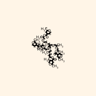 CC(COCC(COCC(C)OCC(C)OC(=O)C1CCOC(C)C1)(COCC(C)OCC(C)OC(=O)C1CCOC(C)C1)COCC(C)OCC(C)OC(=O)C1CCOC(C)C1)OCC(C)OC(=O)C1CCOC(C)C1